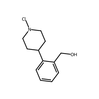 OCc1ccccc1C1CCN(Cl)CC1